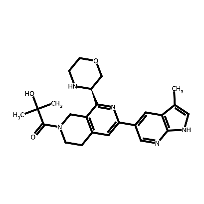 Cc1c[nH]c2ncc(-c3cc4c(c([C@@H]5COCCN5)n3)CN(C(=O)C(C)(C)O)CC4)cc12